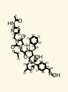 CC(=O)Nc1nc(CN2C(=O)CN([C@H](C(=O)N[C@@H](Cc3ccccc3)[C@H](O)CN(CC(C)C)S(=O)(=O)c3ccc(/C=N/O)cc3)C(C)C)C2=O)cs1